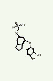 Cc1cc(OCP(=O)(O)O)cc2c1[C@H](c1cc(C(C)C)c(O)cc1F)CC2